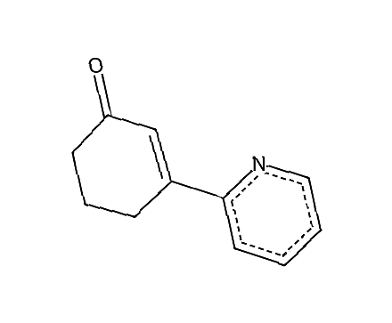 O=C1C=C(c2ccccn2)CCC1